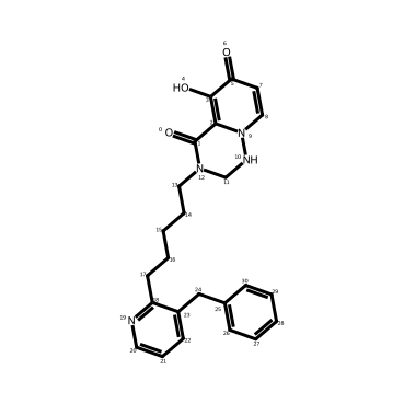 O=C1c2c(O)c(=O)ccn2NCN1CCCCCc1ncccc1Cc1ccccc1